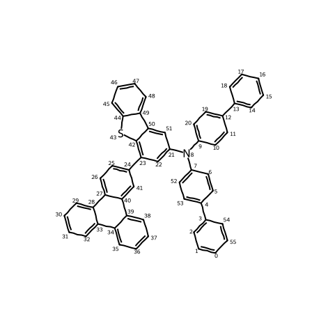 c1ccc(-c2ccc(N(c3ccc(-c4ccccc4)cc3)c3cc(-c4ccc5c6ccccc6c6ccccc6c5c4)c4sc5ccccc5c4c3)cc2)cc1